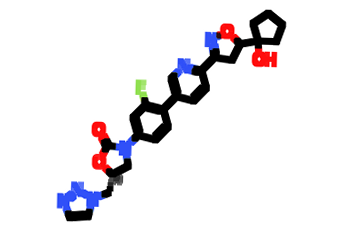 O=C1O[C@@H](Cn2ccnn2)CN1c1ccc(-c2ccc(C3=NOC(C4(O)CCCC4)C3)nc2)c(F)c1